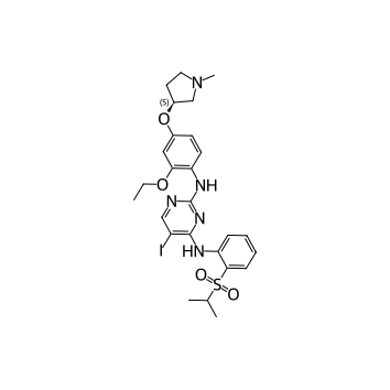 CCOc1cc(O[C@H]2CCN(C)C2)ccc1Nc1ncc(I)c(Nc2ccccc2S(=O)(=O)C(C)C)n1